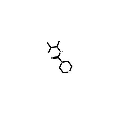 CC(C)C(C)NC(=O)N1CCOCC1